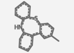 Cc1ccc2sc3ccccc3[nH]c3ccccc3c2c1